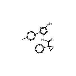 Cc1ccc(-n2nc(C(C)(C)C)cc2NC(=O)C2(c3ccccc3)CC2)cc1